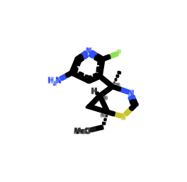 COC[C@]12C[C@H]1[C@@](C)(c1cc(N)cnc1F)N=[C]S2